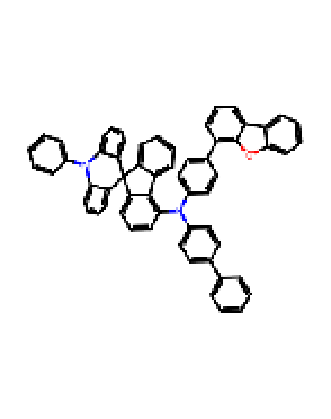 c1ccc(-c2ccc(N(c3ccc(-c4cccc5c4oc4ccccc45)cc3)c3cccc4c3-c3ccccc3C43c4ccccc4N(c4ccccc4)c4ccccc43)cc2)cc1